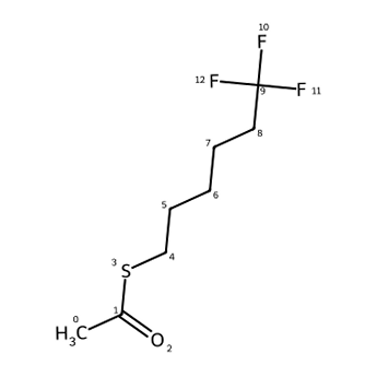 CC(=O)SCCCCCC(F)(F)F